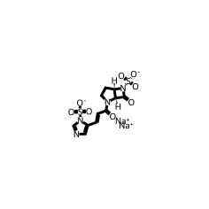 O=C(C=Cc1cncn1S(=O)(=O)[O-])N1CC[C@@H]2[C@H]1C(=O)N2S(=O)(=O)[O-].[Na+].[Na+]